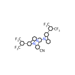 N#Cc1ccc(-n2c3ccccc3c3cc(-c4cc(C(F)(F)F)cc(C(F)(F)F)c4)ccc32)c(-c2cc(-n3c4ccccc4c4cc(-c5cc(C(F)(F)F)cc(C(F)(F)F)c5)ccc43)ccn2)c1